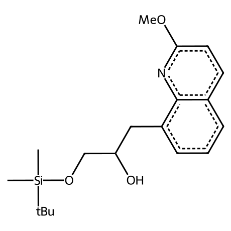 COc1ccc2cccc(CC(O)CO[Si](C)(C)C(C)(C)C)c2n1